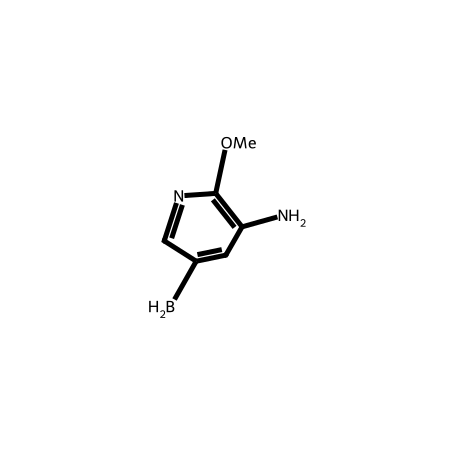 Bc1cnc(OC)c(N)c1